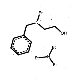 CCN(CC)CC.CCN(CCO)Cc1ccccc1